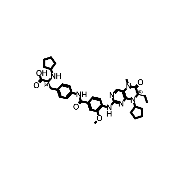 CC[C@@H]1C(=O)N(C)c2cnc(Nc3ccc(C(=O)Nc4ccc(C[C@H](NC5CCCC5)C(=O)O)cc4)cc3OC)nc2N1C1CCCC1